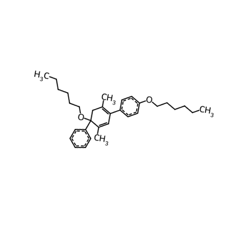 CCCCCCOc1ccc(C2=C(C)CC(OCCCCCC)(c3ccccc3)C(C)=C2)cc1